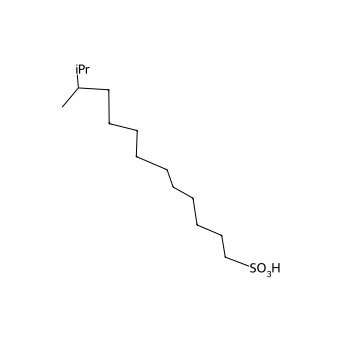 CC(C)C(C)CCCCCCCCCCS(=O)(=O)O